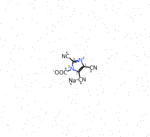 N#Cc1nc(C#N)n(C(=O)[O-])c1C#N.[Na+]